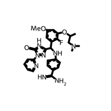 COc1cc(OC(C)CN(C)C)c(F)c(C(Nc2ccc(C(=N)N)cc2)c2nn(-c3ccccn3)c(=O)[nH]2)c1